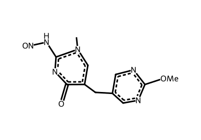 COc1ncc(Cc2cn(C)c(NN=O)nc2=O)cn1